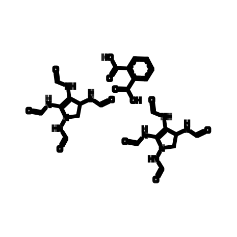 O=C(O)c1ccccc1C(=O)O.O=CNC1=C(NC=O)N(NC=O)CC1NC=O.O=CNC1=C(NC=O)N(NC=O)CC1NC=O